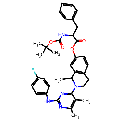 Cc1nc(Nc2ccc(F)cc2)nc(N2CCc3ccc(OC(=O)C(Cc4ccccc4)NC(=O)OC(C)(C)C)cc3C2C)c1C